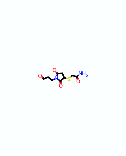 NC(=O)CSC1CC(=O)N(CCC=O)C1=O